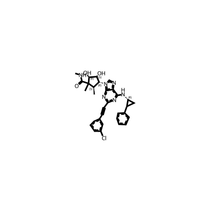 CNC(=O)C1(C)[C@H](C)[C@@H](n2cnc3c(N[C@@H]4CC4c4ccccc4)nc(C#Cc4cccc(Cl)c4)nc32)[C@H](O)[C@@H]1O